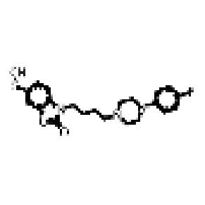 N#CSc1ccc2c(c1)oc(=O)n2CCCCN1CCN(c2ccc(F)cc2)CC1